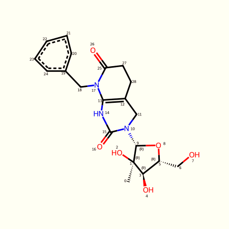 C[C@@]1(O)[C@H](O)[C@@H](CO)O[C@H]1N1CC2=C(NC1=O)N(Cc1ccccc1)C(=O)CC2